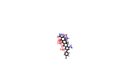 CN(C)c1cc(-c2ccc(I)cc2)c(O)c2c1C[C@H]1C[C@H]3C(N(C)C)C(O)=C(C(N)=O)C(=O)[C@@]3(O)C(O)=C1C2=O